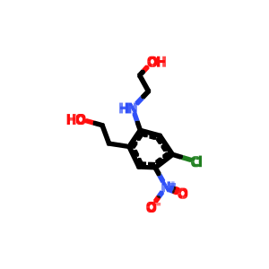 O=[N+]([O-])c1cc(CCO)c(NCCO)cc1Cl